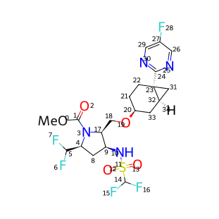 COC(=O)N1[C@H](C(F)F)C[C@H](NS(=O)(=O)C(F)F)[C@@H]1CO[C@H]1CC[C@@]2(c3ncc(F)cn3)C[C@H]2C1